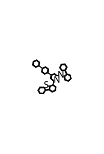 c1ccc(-c2ccc(-c3cc(-c4cccc5c4sc4ccccc45)nc(-n4c5ccccc5c5ccccc54)c3)cc2)cc1